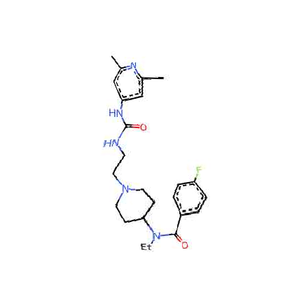 CCN(C(=O)c1ccc(F)cc1)C1CCN(CCNC(=O)Nc2cc(C)nc(C)c2)CC1